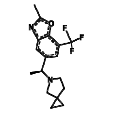 Cc1nc2cc([C@H](C)N3CCC4(CC4)C3)cc(C(F)(F)F)c2o1